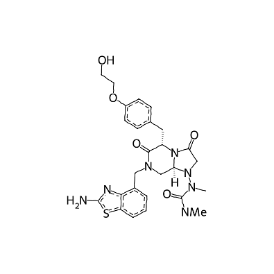 CNC(=O)N(C)N1CC(=O)N2[C@@H](Cc3ccc(OCCO)cc3)C(=O)N(Cc3cccc4sc(N)nc34)C[C@@H]21